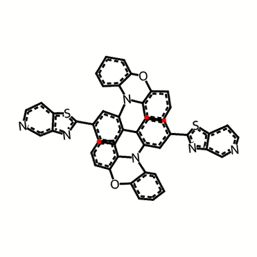 c1ccc2c(c1)Oc1ccccc1N2c1cc(-c2nc3cnccc3s2)ccc1-c1ccc(-c2nc3cnccc3s2)cc1N1c2ccccc2Oc2ccccc21